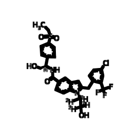 [2H]C([2H])(O)C([2H])([2H])n1c(Cc2ccc(Cl)cc2C(F)(F)F)cc2cc(C(=O)N[C@@H](CO)c3ccc(S(=O)(=O)CC)cc3)ccc21